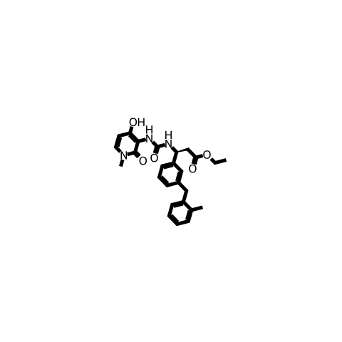 CCOC(=O)C[C@H](NC(=O)Nc1c(O)ccn(C)c1=O)c1cccc(Cc2ccccc2C)c1